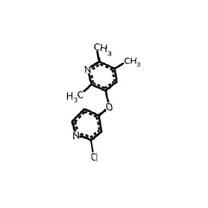 Cc1cc(Oc2ccnc(Cl)c2)c(C)nc1C